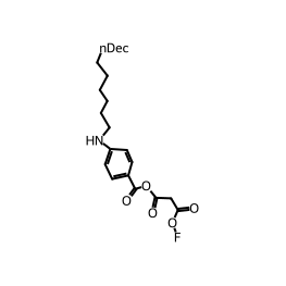 CCCCCCCCCCCCCCCCNc1ccc(C(=O)OC(=O)CC(=O)OF)cc1